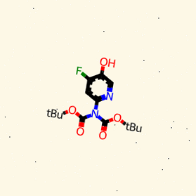 CC(C)(C)OC(=O)N(C(=O)OC(C)(C)C)c1cc(F)c(O)cn1